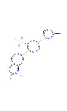 CCS(=O)(=O)c1cc(-n2cnc(C)n2)cnc1-c1ncc2nc(C(F)(F)F)n(C)c2n1